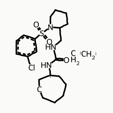 O=C(NCC1CCCCN1S(=O)(=O)c1cccc(Cl)c1)N[C]1CCCCCCC1.[CH2].[CH2]